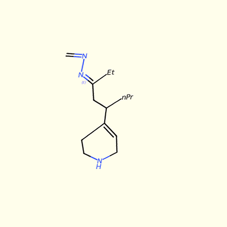 C=N/N=C(\CC)CC(CCC)C1=CCNCC1